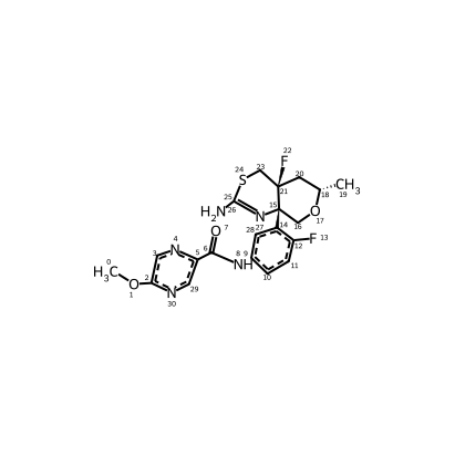 COc1cnc(C(=O)Nc2ccc(F)c([C@]34CO[C@@H](C)C[C@@]3(F)CSC(N)=N4)c2)cn1